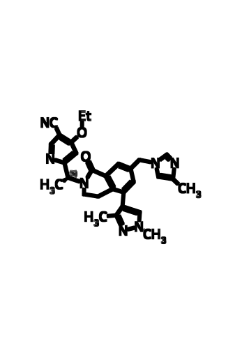 CCOc1cc([C@H](C)N2CCc3c(cc(Cn4cnc(C)c4)cc3-c3cn(C)nc3C)C2=O)ncc1C#N